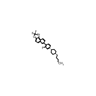 CCCCC[C@H]1CC[C@H](c2ccc(-c3ccc4c(F)c(OC(F)(F)F)ccc4c3)c(F)c2)CC1